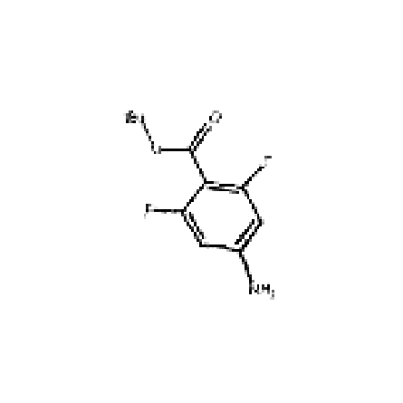 CC(C)(C)OC(=O)c1c(F)cc(N)cc1F